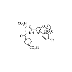 CCOC(=O)N1CCN(C(=O)[C@H](CCC(=O)O)NC(=O)c2cc(OC3(C(=O)OCC)CCC3)n(-c3ccc(CC)cc3)n2)CC1